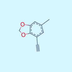 C#Cc1cc(C)cc2c1OCO2